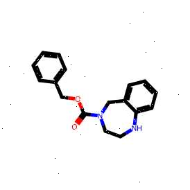 O=C(OCc1ccccc1)N1CCNc2ccccc2C1